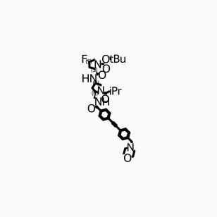 CC(C)C(=O)N1C[C@H](NC(=O)[C@@H]2C[C@H](F)CN2C(=O)OC(C)(C)C)C[C@@H]1CNC(=O)c1ccc(C#Cc2ccc(CN3CCOCC3)cc2)cc1